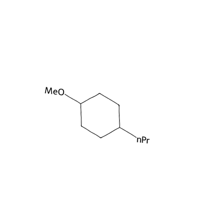 [CH2]CCC1CCC(OC)CC1